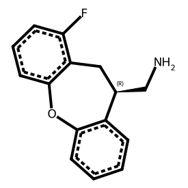 NC[C@@H]1Cc2c(F)cccc2Oc2ccccc21